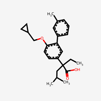 CCC(CC(C)C)(C(=O)O)c1ccc(OCC2CC2)c(-c2cccc(C)c2)c1